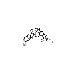 CC1c2ccc3c(c2CCN1C(=O)c1cc2ccc(Br)cn2n1)C(=O)N(C)C3